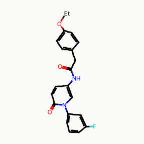 CCOc1ccc(CC(=O)Nc2ccc(=O)n(-c3cccc(F)c3)c2)cc1